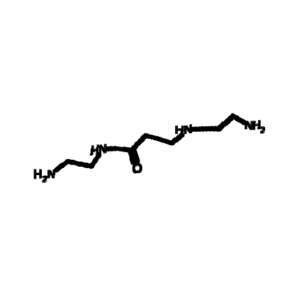 NCCNCCC(=O)NCCN